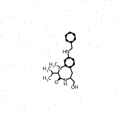 CC(C)C1C(=O)NC(CO)Cc2ccc(NCc3ccccc3)cc2N1C